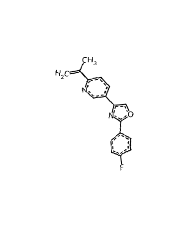 C=C(C)c1ccc(-c2coc(-c3ccc(F)cc3)n2)cn1